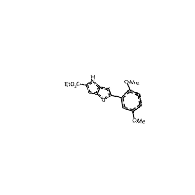 CCOC(=O)c1cc2oc(-c3cc(OC)ccc3OC)cc2[nH]1